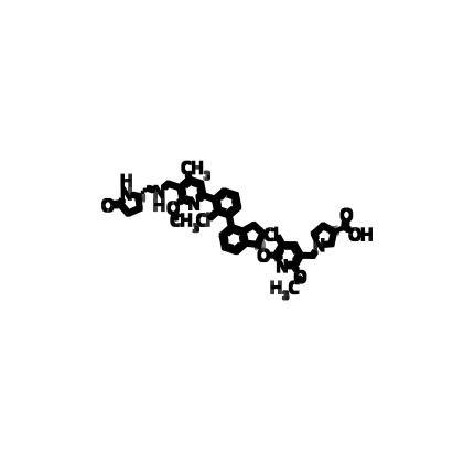 COc1nc(O[C@H]2CCc3c(-c4cccc(-c5cc(C)c(CNC[C@@H]6CCC(=O)N6)c(OC)n5)c4Cl)cccc32)c(Cl)cc1CN1CC[C@@H](C(=O)O)C1